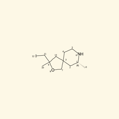 C[C@@H]1CC2(CCN1)COC(C)(CI)C2